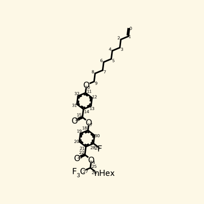 C=CCCCCCCCCOc1ccc(C(=O)Oc2ccc(C(=O)OC(CCCCCC)C(F)(F)F)c(F)c2)cc1